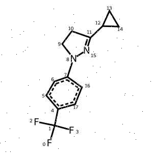 FC(F)(F)c1ccc(N2CCC(C3CC3)=N2)cc1